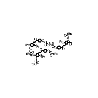 CC(C)Oc1cc(OCOC(=O)C(C)(C)C)c(C(C)(C)C)cc1/C=C/C(=O)c1ccc(OCOC(=O)C(C)(C)C)cc1.CC(C)Oc1cc(OCOC(=O)C(C)(C)C)c(C(C)C)cc1/C=C/C(=O)c1ccc(OCOC(=O)C(C)(C)C)cc1.CCC(C)(C)c1cc(/C=C/C(=O)c2ccc(OCOC(=O)C(C)(C)C)cc2)c(OC(C)C)cc1OCOC(=O)C(C)(C)C